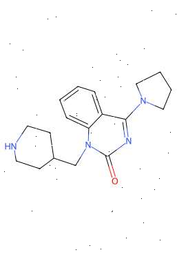 O=c1nc(N2CCCC2)c2ccccc2n1CC1CCNCC1